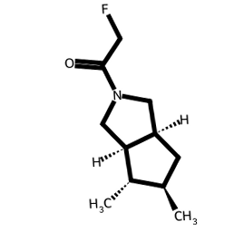 C[C@@H]1[C@H]2CN(C(=O)CF)C[C@H]2C[C@H]1C